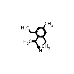 C=C(C#N)c1c(CC)cc(C)cc1CC